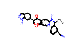 CC(Nc1cc2c(=O)c(-c3ccc4cn[nH]c4c3)coc2cn1)c1cccc(C#N)c1